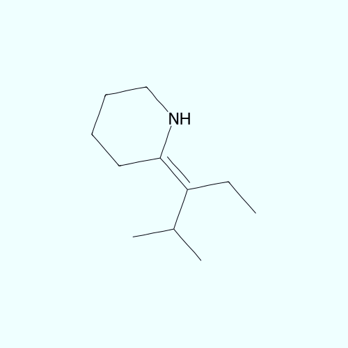 CC/C(=C1/CCCCN1)C(C)C